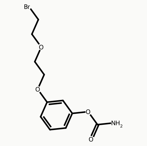 NC(=O)Oc1cccc(OCCOCCBr)c1